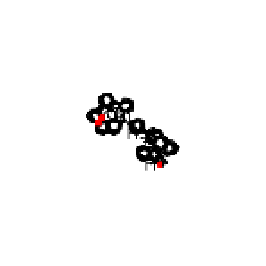 CC1CC=CC=C1C1=CCCC2=C1OC1C(N(C3=CC=C(C4=CC=C5C(C)C(=C4)C4(C6C=CC=CC56)C5CCC=CC5[C@H]5C=CC=CC54)CC3)C3=CC=C4C=CC=CC4C3)=CCCC21